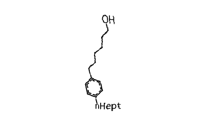 CCCCCCCc1ccc(CCCCCCO)cc1